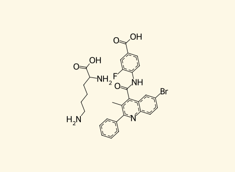 Cc1c(-c2ccccc2)nc2ccc(Br)cc2c1C(=O)Nc1ccc(C(=O)O)cc1F.NCCCCC(N)C(=O)O